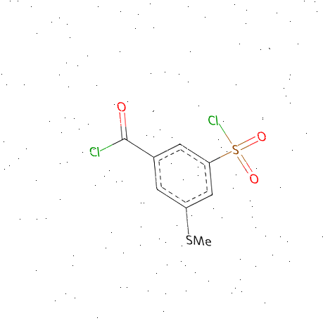 CSc1cc(C(=O)Cl)cc(S(=O)(=O)Cl)c1